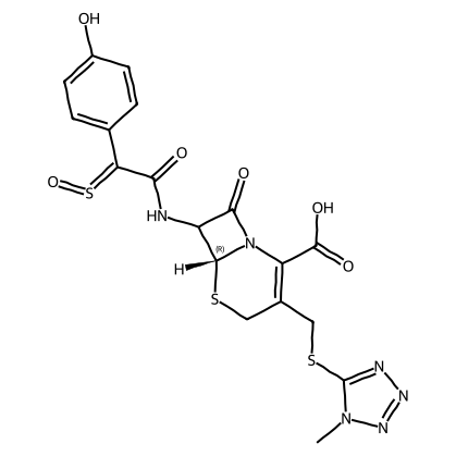 Cn1nnnc1SCC1=C(C(=O)O)N2C(=O)C(NC(=O)C(=S=O)c3ccc(O)cc3)[C@H]2SC1